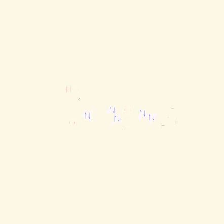 Cc1cn(CC(F)(F)F)nc1S(=O)(=O)n1cc2c(n1)CN(C(=O)[C@H](CO)c1ccccc1)C2